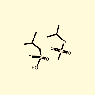 CC(C)CS(=O)(=O)O.CC(C)OS(C)(=O)=O